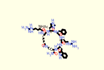 CC(=O)N[C@@H](CCCNC(=N)N)C(=O)N[C@H]1CCCC(=O)NCC[C@@H](C(N)=O)NC(=O)[C@H](Cc2c[nH]c3ccccc23)NC(=O)[C@H](CCCNC(=N)N)NC(=O)[C@@H](Cc2ccccc2)NC(=O)[C@H](Cc2c[nH]cn2)NC1=O